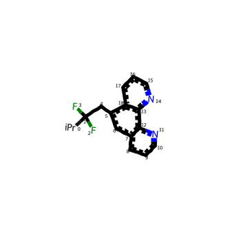 CC(C)C(F)(F)Cc1cc2cccnc2c2ncccc12